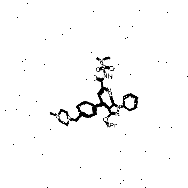 CC(C)Oc1nn(C2CCCCC2)c2nc(C(=O)NS(=O)(=O)N(C)C)cc(-c3ccc(CN4CCN(C)CC4)cc3)c12